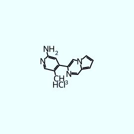 Cc1cnc(N)cc1-c1cn2cccc2cn1.Cl